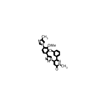 COc1cc(-c2cn(-c3cc(=O)n(C)nc3-c3cccc(Cl)c3)nn2)ccc1-n1cnc(C)c1